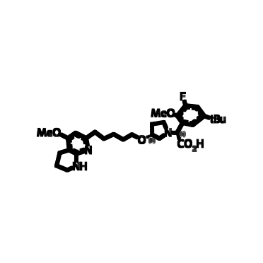 COc1cc(CCCCCO[C@@H]2CCN([C@H](C(=O)O)c3cc(C(C)(C)C)cc(F)c3OC)C2)nc2c1CCCN2